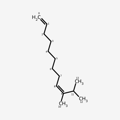 C=CCCCCCCC=C(C)C(C)C